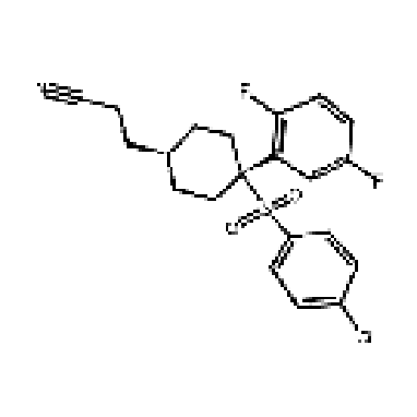 N#CCC[C@H]1CC[C@](c2cc(F)ccc2F)(S(=O)(=O)c2ccc(Cl)cc2)CC1